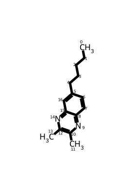 CCCCCc1ccc2nc(C)c(C)nc2c1